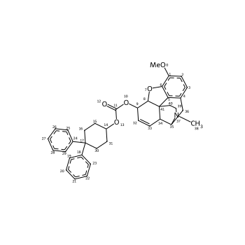 COc1ccc2c3c1OC1C(OC(=O)OC4CCC(c5ccccc5)(c5ccccc5)CC4)C=CC4C(C2)N(C)CCC341